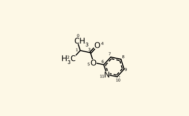 CC(C)C(=O)Oc1ccc[c]n1